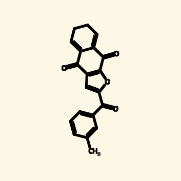 Cc1cccc(C(=O)c2cc3c(o2)C(=O)C2=CCCC=C2C3=O)c1